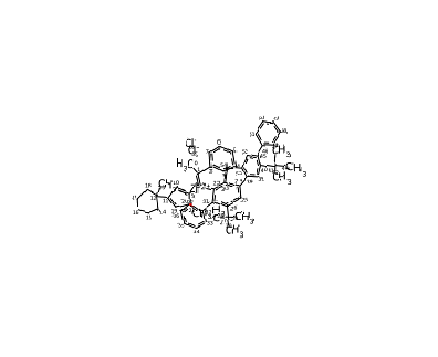 C/[C](c1ccccc1)=[Zr+2](\[C]1=CC(C2(C)CCCCC2)=CC1C)[c]1c2c(cc(C(C)(C)C)c1-c1ccccc1)-c1cc(C(C)(C)C)c(-c3ccccc3)cc1C2.[Cl-].[Cl-]